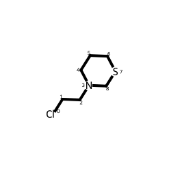 ClCCN1CCCSC1